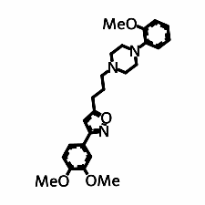 COc1ccc(-c2cc(CCCN3CCN(c4ccccc4OC)CC3)on2)cc1OC